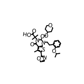 Cc1c(-c2ncco2)sc2c1C(=O)N(C(C)(C)C(=O)O)C(OOC1CCOCC1)N2CCc1ccccc1OC(C)C